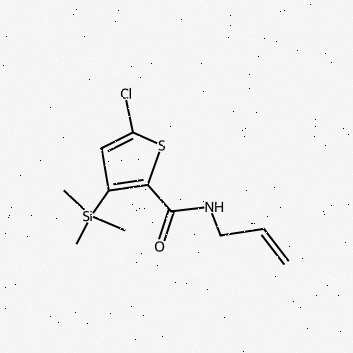 C=CCNC(=O)c1sc(Cl)cc1[Si](C)(C)C